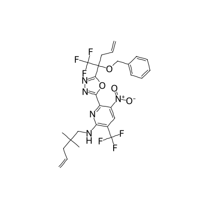 C=CCC(C)(C)CNc1nc(-c2nnc(C(CC=C)(OCc3ccccc3)C(F)(F)F)o2)c([N+](=O)[O-])cc1C(F)(F)F